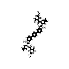 COC(=O)N[C@H](C(=O)N1CC2(CC2)C[C@H]1c1nc2cc(-c3ccc(-c4ccc5[nH]c([C@@H]6CC7(CC7)CN6C(=O)[C@@H](NC(=O)OC)C(C)C)nc5c4)cc3)ccc2[nH]1)C(C)C